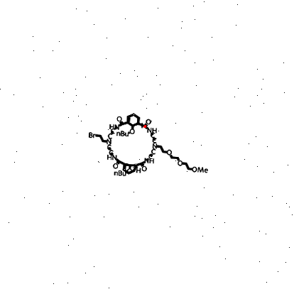 CCCCOC1C2=CCC[C@@H]1C(=O)NCCN(CCOCCOCCOC)CCNC(=O)[C@@H]1CCC=C(C(=O)NCCN(CCBr)CCNC2=O)C1OCCCC